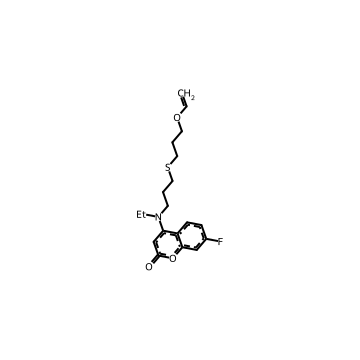 C=COCCCSCCCN(CC)c1cc(=O)oc2cc(F)ccc12